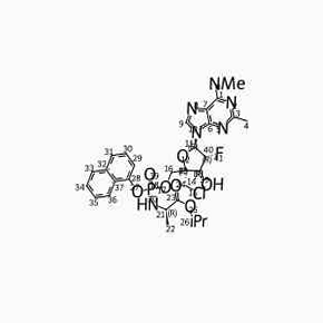 CNc1nc(C)nc2c1ncn2[C@@H]1O[C@](CCl)(COP(=O)(N[C@H](C)C(=O)OC(C)C)Oc2cccc3ccccc23)[C@@H](O)[C@H]1F